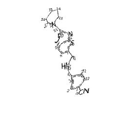 N#Cc1ccc(NCc2cc3sc(N4CCCCC4)nc3s2)cc1